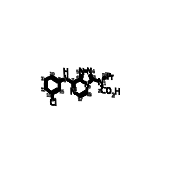 CC(C)N(C(=O)O)c1nnc2c(Nc3cccc(Cl)c3)nccn12